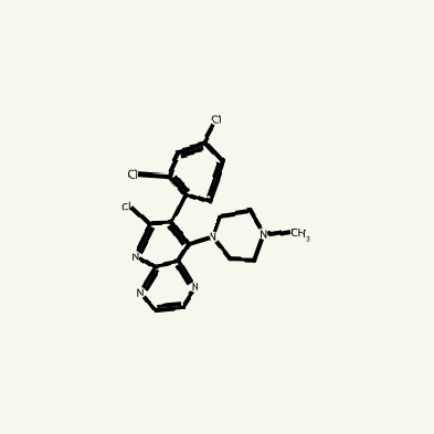 CN1CCN(c2c(-c3ccc(Cl)cc3Cl)c(Cl)nc3nccnc23)CC1